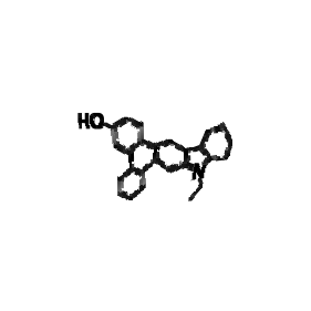 CCn1c2ccccc2c2cc3c4ccc(O)cc4c4ccccc4c3cc21